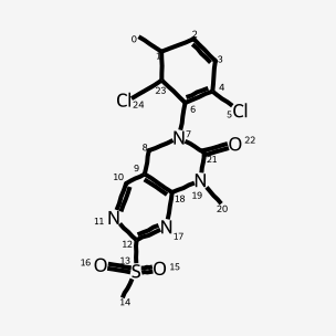 CC1C=CC(Cl)=C(N2Cc3cnc(S(C)(=O)=O)nc3N(C)C2=O)C1Cl